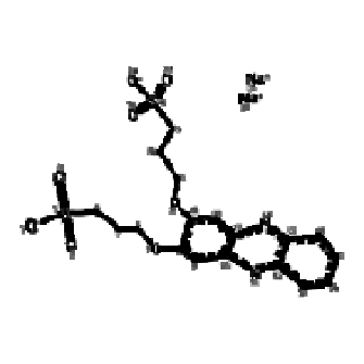 O=S(=O)([O-])CCCOc1cc2nc3ccccc3nc2cc1OCCCS(=O)(=O)[O-].[Na+].[Na+]